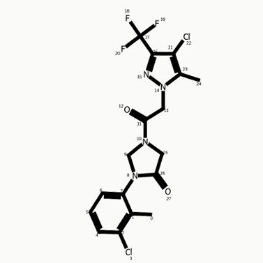 Cc1c(Cl)cccc1N1CN(C(=O)Cn2nc(C(F)(F)F)c(Cl)c2C)CC1=O